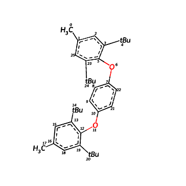 Cc1cc(C(C)(C)C)c(Oc2ccc(Oc3c(C(C)(C)C)cc(C)cc3C(C)(C)C)cc2)c(C(C)(C)C)c1